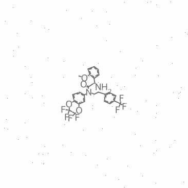 COc1ccccc1C(N)C(=O)N(CCc1ccc(C(F)(F)F)cc1)c1ccc2c(c1)OC(F)(F)C(F)(F)O2